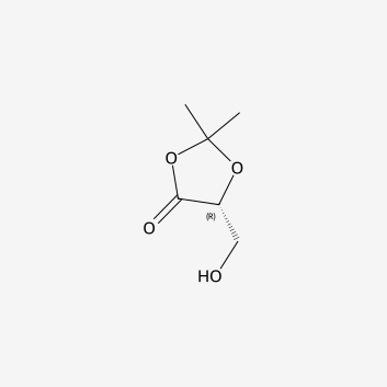 CC1(C)OC(=O)[C@@H](CO)O1